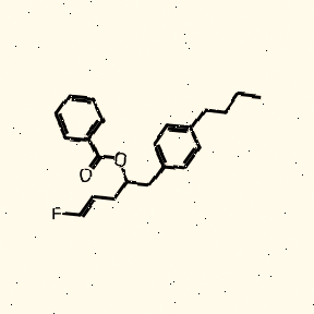 CCCCc1ccc(CC(C/C=C/F)OC(=O)c2ccccc2)cc1